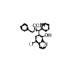 O=C(O)N(Cc1ccccc1)C(c1ccccn1)c1cc(Cl)c2cccnc2c1O